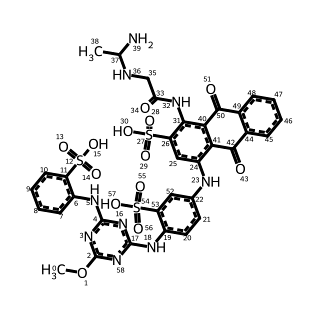 COc1nc(Nc2ccccc2S(=O)(=O)O)nc(Nc2ccc(Nc3cc(S(=O)(=O)O)c(NC(=O)CNC(C)N)c4c3C(=O)c3ccccc3C4=O)cc2S(=O)(=O)O)n1